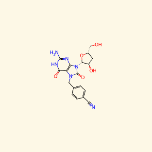 N#Cc1ccc(Cn2c(=O)n([C@@H]3O[C@H](CO)C[C@H]3O)c3nc(N)[nH]c(=O)c32)cc1